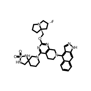 O=S1(=O)NCC2(CCCN(c3nc(OC[C@@]45CCCN4C[C@H](F)C5)nc4c3CCN(c3c5ccccc5cc5[nH]ncc35)C4)C2)N1